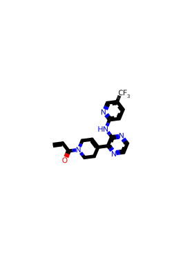 C=CC(=O)N1CC=C(c2nccnc2Nc2ccc(C(F)(F)F)cn2)CC1